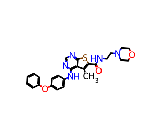 Cc1c(C(=O)NCCN2CCOCC2)sc2ncnc(Nc3ccc(Oc4ccccc4)cc3)c12